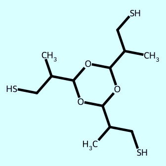 CC(CS)C1OC(C(C)CS)OC(C(C)CS)O1